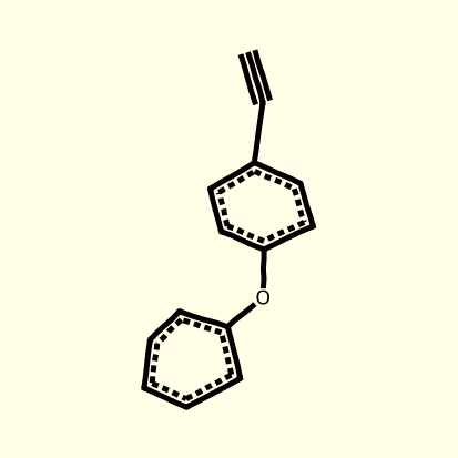 C#Cc1ccc(Oc2ccccc2)cc1